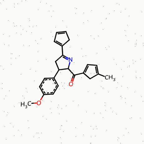 COc1ccc(C2CC(C3=CC=CC3)=NC2C(=O)C2=CC=C(C)C2)cc1